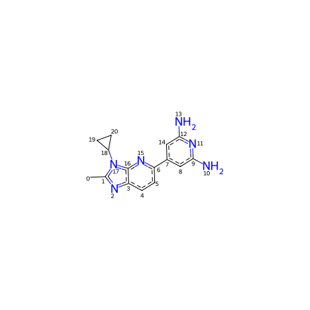 Cc1nc2ccc(-c3cc(N)nc(N)c3)nc2n1C1CC1